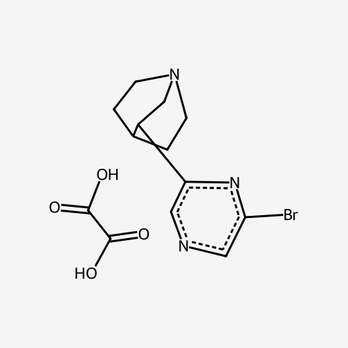 Brc1cncc(C2CN3CCC2CC3)n1.O=C(O)C(=O)O